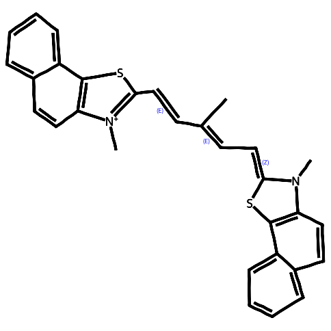 CC(/C=C/c1sc2c3ccccc3ccc2[n+]1C)=C\C=C1/Sc2c(ccc3ccccc23)N1C